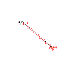 CCOC(=O)CCOCCOCCOCCOCCOCCOCCOCCOCCP(=O)(O)O